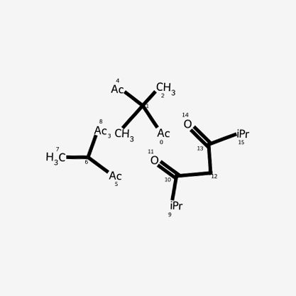 CC(=O)C(C)(C)C(C)=O.CC(=O)C(C)C(C)=O.CC(C)C(=O)CC(=O)C(C)C